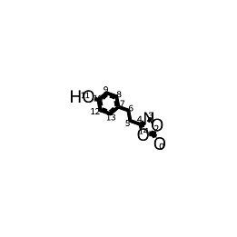 O=c1onc(CCc2ccc(O)cc2)o1